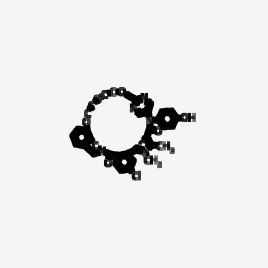 Cc1c2cc(n1C)-c1cc(Cl)ccc1C(=O)N1Cc3cccc(c3C1)OCCOCCOc1ncc(cn1)N(c1ccc(O)cc1)C2=O